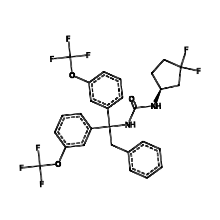 O=C(N[C@H]1CCC(F)(F)C1)NC(Cc1ccccc1)(c1cccc(OC(F)(F)F)c1)c1cccc(OC(F)(F)F)c1